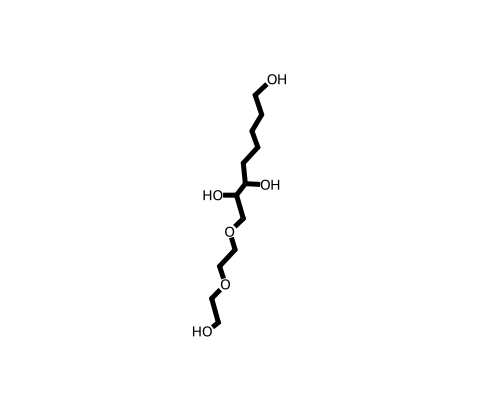 OCCCCCC(O)C(O)COCCOCCO